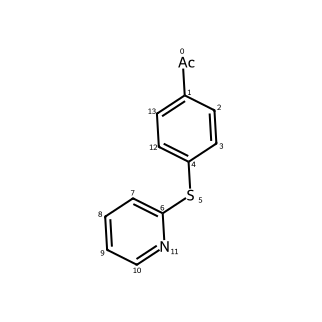 CC(=O)c1ccc(Sc2ccccn2)cc1